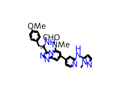 CNc1cc(-c2ccnc(Nc3ccnn3C)c2)cc2nnc([C@@H](Cc3ccc(OC)cc3)NC=O)n12